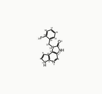 O=c1[nH]c2cnc3[nH]ccc3c2n1Cc1ccccc1F